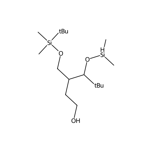 C[SiH](C)OC(C(CCO)CO[Si](C)(C)C(C)(C)C)C(C)(C)C